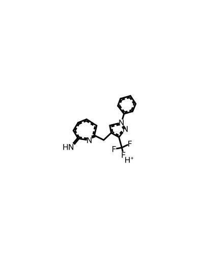 N=c1ccccc(Cc2cn(-c3ccccc3)nc2C(F)(F)F)n1.[H+]